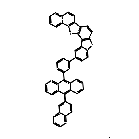 c1cc(-c2ccc3sc4ccc5c6ccc7ccccc7c6sc5c4c3c2)cc(-c2c3ccccc3c(-c3ccc4ccccc4c3)c3ccccc23)c1